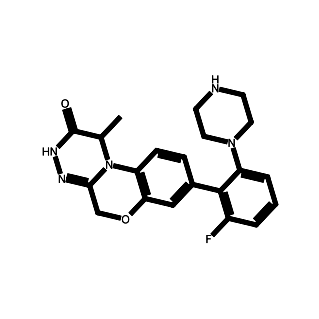 CC1C(=O)NN=C2COc3cc(-c4c(F)cccc4N4CCNCC4)ccc3N21